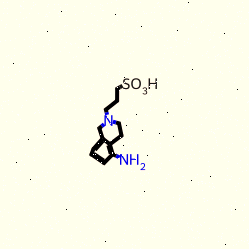 Nc1cccc2c1CCN(CCCS(=O)(=O)O)C2